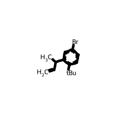 C=C[C](C)c1cc(Br)ccc1C(C)(C)C